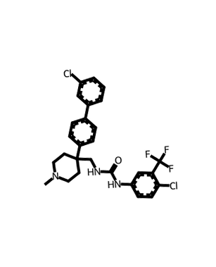 CN1CCC(CNC(=O)Nc2ccc(Cl)c(C(F)(F)F)c2)(c2ccc(-c3cccc(Cl)c3)cc2)CC1